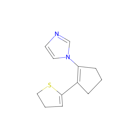 C1=C(C2=C(n3ccnc3)CCC2)SCC1